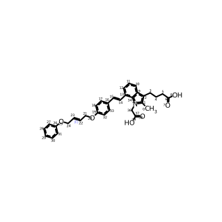 Cc1c(CCCC(=O)O)c2cccc(C=Cc3ccc(OC/C=C/COc4ccccc4)cc3)c2n1CC(=O)O